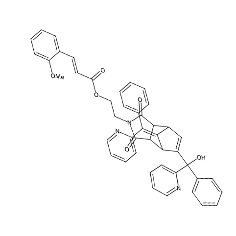 COc1ccccc1C=CC(=O)OCCN1C(=O)C2C3C=C(C(O)(c4ccccc4)c4ccccn4)C(C3=C(c3ccccc3)c3ccccn3)C2C1=O